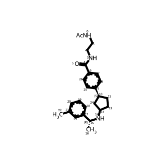 CC(=O)NCCNC(=O)c1ccc([C@H]2CCC(N[C@H](C)c3cccc(C)c3)C2)cc1